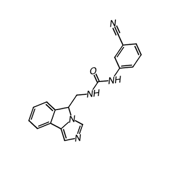 N#Cc1cccc(NC(=O)NCC2c3ccccc3-c3cncn32)c1